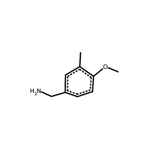 COc1ccc(CN)cc1C